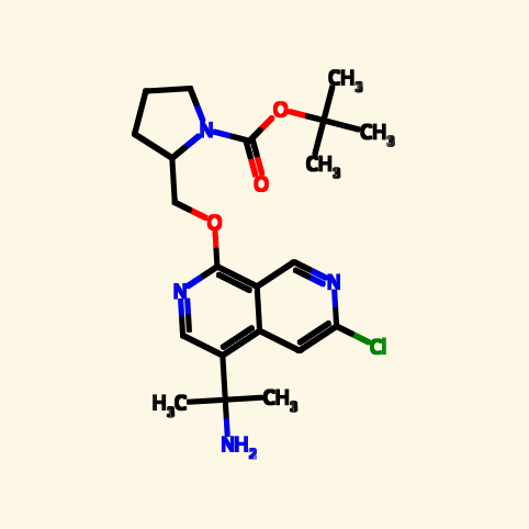 CC(C)(C)OC(=O)N1CCCC1COc1ncc(C(C)(C)N)c2cc(Cl)ncc12